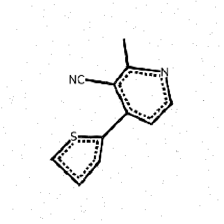 Cc1nccc(-c2cccs2)c1C#N